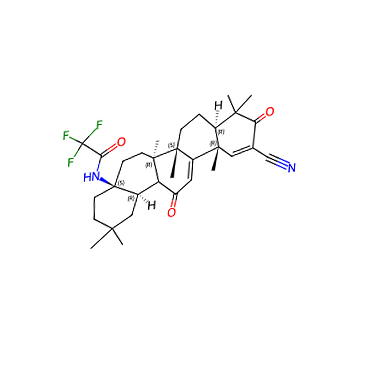 CC1(C)CC[C@]2(NC(=O)C(F)(F)F)CC[C@]3(C)C(C(=O)C=C4[C@@]5(C)C=C(C#N)C(=O)C(C)(C)[C@@H]5CC[C@]43C)[C@H]2C1